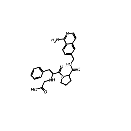 Nc1nccc2cc(CNC(=O)C3CCCN3C(=O)C(Cc3ccccc3)NCC(=O)O)ccc12